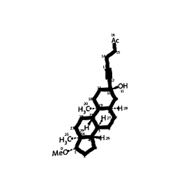 CO[C@H]1CC[C@H]2[C@@H]3CC[C@@H]4C[C@@](O)(C#CCCC(C)=O)CC[C@]4(C)[C@H]3CC[C@]12C